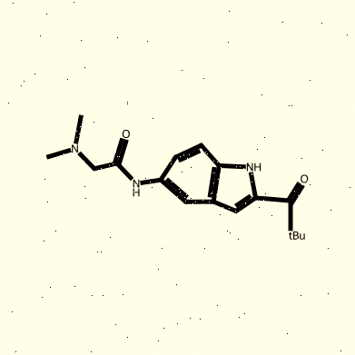 CN(C)CC(=O)Nc1ccc2[nH]c(C(=O)C(C)(C)C)cc2c1